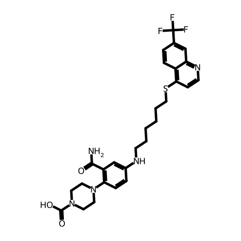 NC(=O)c1cc(NCCCCCCSc2ccnc3cc(C(F)(F)F)ccc23)ccc1N1CCN(C(=O)O)CC1